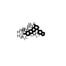 CC(C)C1C(C)CC2(C)CC3(C)CC4C(C5CCC6CCCC6C5)CCC(C)C4C(O)C3C(C)C2(C)C1C